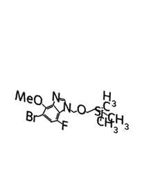 COc1c(Br)cc(F)c2c1ncn2COCC[Si](C)(C)C